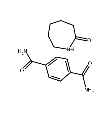 NC(=O)c1ccc(C(N)=O)cc1.O=C1CCCCCN1